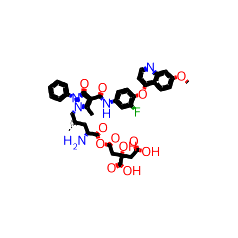 COc1ccc2c(Oc3ccc(NC(=O)c4c(C)n(C[C@@H](C)CC(N)C(=O)OC(=O)CC(O)(CC(=O)O)C(=O)O)n(-c5ccccc5)c4=O)cc3F)ccnc2c1